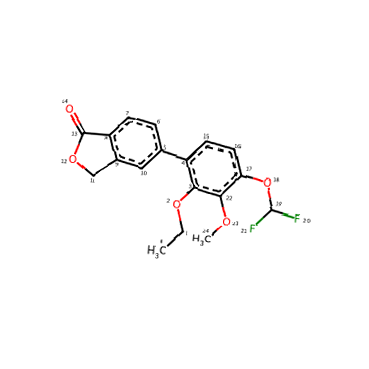 CCOc1c(-c2ccc3c(c2)COC3=O)ccc(OC(F)F)c1OC